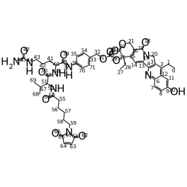 CCc1c2c(nc3ccc(O)cc13)-c1cc3c(c(=O)n1C2)COC(=O)[C@@]3(CC)OC(=O)OCc1ccc(NC(=O)[C@H](CCCNC(N)=O)NC(=O)[C@@H](NC(=O)CCCCCN2C(=O)C=CC2=O)C(C)C)cc1